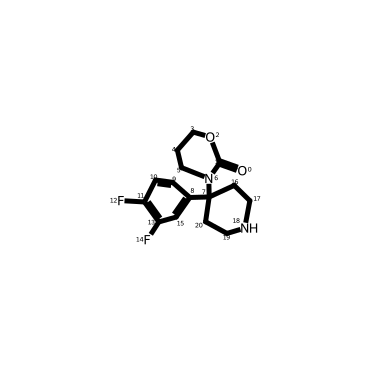 O=C1OCCCN1C1(c2ccc(F)c(F)c2)CCNCC1